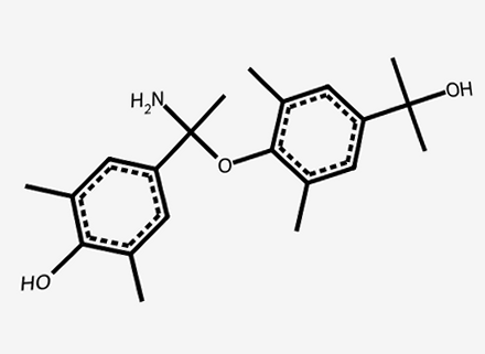 Cc1cc(C(C)(N)Oc2c(C)cc(C(C)(C)O)cc2C)cc(C)c1O